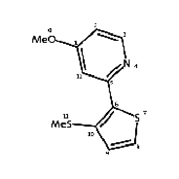 COc1ccnc(-c2sccc2SC)c1